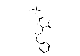 CN(Cc1ccccc1)CC(NC(=O)OC(C)(C)C)C(N)=O